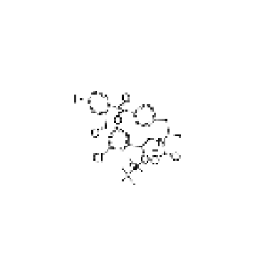 C[C@H](Cc1ccc(S(=O)(=O)c2ccc(F)cc2C=O)cc1)N(C[C@@H](O[Si](C)(C)C(C)(C)C)c1cccc(Cl)c1)C(=O)O